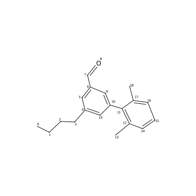 CCCCc1cc(C=O)cc(-c2c(C)cccc2C)c1